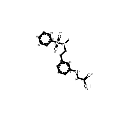 CN(CCc1cccc(OCC(=O)O)c1)S(=O)(=O)c1ccccc1